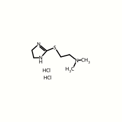 CN(C)CCSC1=NCCN1.Cl.Cl